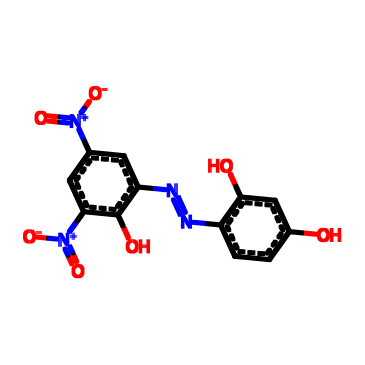 O=[N+]([O-])c1cc(/N=N/c2ccc(O)cc2O)c(O)c([N+](=O)[O-])c1